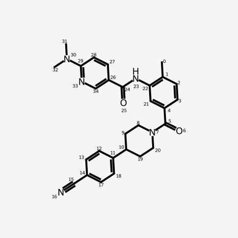 Cc1ccc(C(=O)N2CCC(c3ccc(C#N)cc3)CC2)cc1NC(=O)c1ccc(N(C)C)nc1